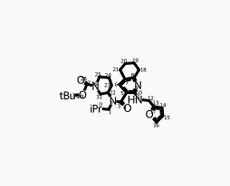 CC(C)CN(C(=O)c1cc2c(nc1NCc1ccco1)CCCC2)C1CCCN(C(=O)OC(C)(C)C)C1